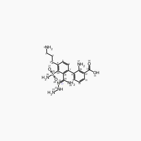 NCCSc1ccc(-c2cccc(C(=O)O)c2N)c(/C(N)=N/NN)c1S(N)(=O)=O